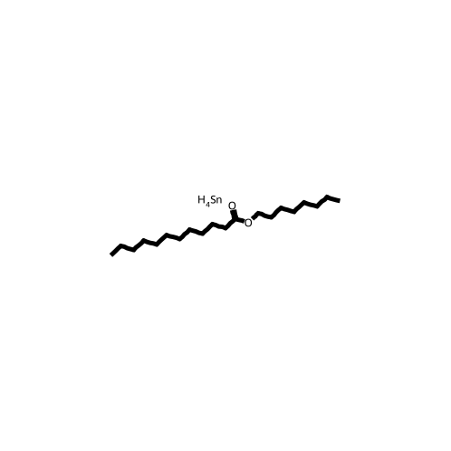 CCCCCCCCCCCC(=O)OCCCCCCCC.[SnH4]